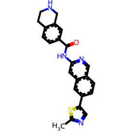 Cc1ncc(-c2ccc3cnc(NC(=O)c4ccc5c(c4)CNCC5)cc3c2)s1